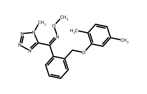 CON=C(c1ccccc1COc1cc(C)ccc1C)c1nnnn1C